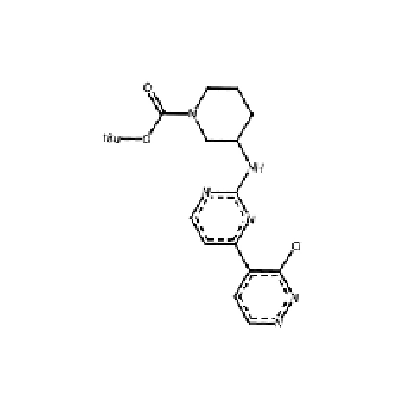 CC(C)(C)OC(=O)N1CCCC(Nc2nccc(-c3ccnnc3Cl)n2)C1